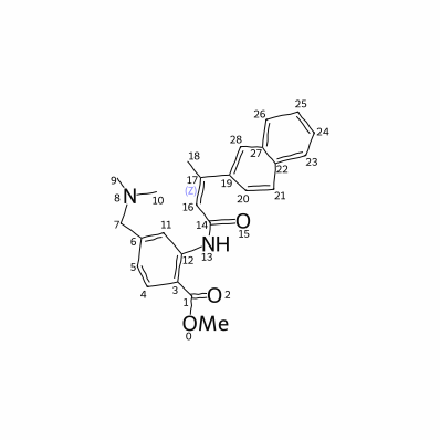 COC(=O)c1ccc(CN(C)C)cc1NC(=O)/C=C(/C)c1ccc2ccccc2c1